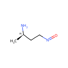 C[C@@H](N)CCN=O